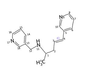 CC(C/C=C/c1cccnc1)NCc1cccnc1